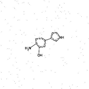 Nc1ccc(-c2cc[nH]c2)cc1O